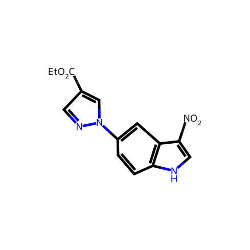 CCOC(=O)c1cnn(-c2ccc3[nH]cc([N+](=O)[O-])c3c2)c1